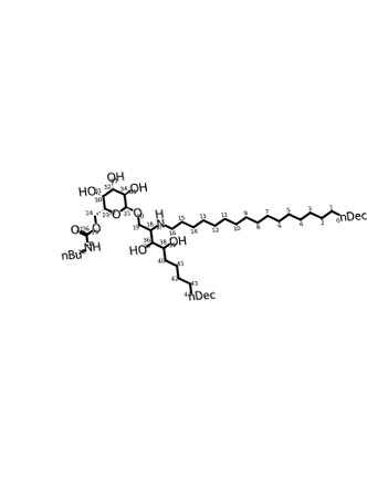 CCCCCCCCCCCCCCCCCCCCCCCCCCNC(CO[C@H]1O[C@H](COC(=O)NCCCC)[C@H](O)[C@H](O)[C@H]1O)C(O)C(O)CCCCCCCCCCCCCC